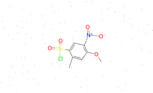 COc1cc(C)c(S(=O)(=O)Cl)cc1[N+](=O)[O-]